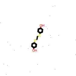 Oc1ccc(SCCSc2ccc(O)cc2)cc1